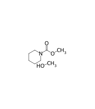 CO.COC(=O)N1CCCCC1